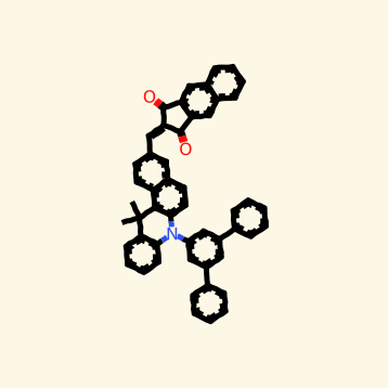 CC1(C)c2ccccc2N(c2cc(-c3ccccc3)cc(-c3ccccc3)c2)c2ccc3cc(C=C4C(=O)c5cc6ccccc6cc5C4=O)ccc3c21